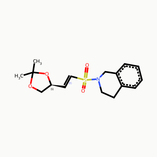 CC1(C)OC[C@H](/C=C/S(=O)(=O)N2CCc3ccccc3C2)O1